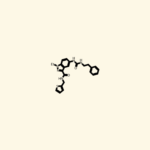 CCn1nc(C(=O)NCc2cccs2)c2cc(NC(=O)NCCc3ccccc3)ccc21